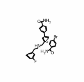 NC(=O)c1ccc(-c2csc(CNCCc3cccc(F)c3)c2)cc1.NC(=O)c1ccc(Br)cc1